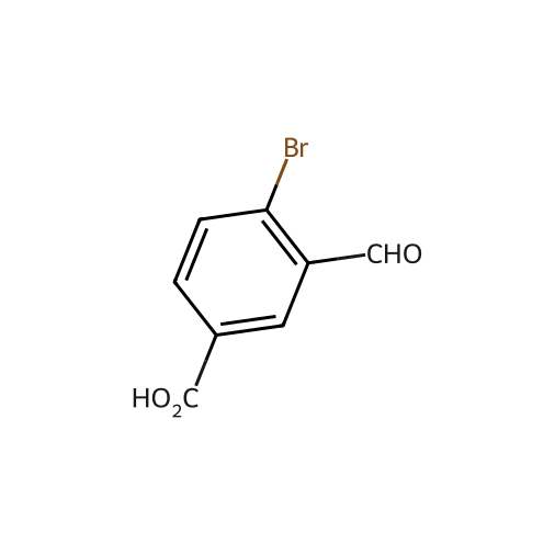 O=Cc1cc(C(=O)O)ccc1Br